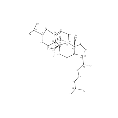 CB(I)[C@]12CCC3[C@@H](CC[C@@H]3[C@H](C)CCCC(C)C)[C@]1(S)CC=C1CC(C(C)C)CC[C@@]12C